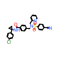 N#Cc1ccc(S(=O)(=O)N(Cc2ccc(C(=O)NC3(c4ccc(Cl)cc4)CC3)cc2)Cc2ccccn2)cc1